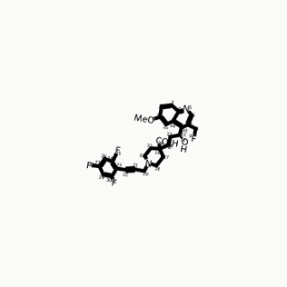 COc1ccc2ncc(CF)c([C@@H](O)CCC3(C(=O)O)CCN(CC#Cc4c(F)cc(F)cc4F)CC3)c2c1